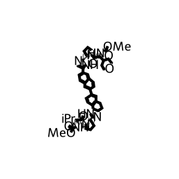 COC(=O)N[C@H](C(=O)N1CCC[C@H]1C1=NC2CCc3cc(-c4ccc5cc(-c6cnc([C@@H]7CCCN7C(=O)[C@@H](NC(=O)OC)C7CCOCC7)[nH]6)ccc5c4)ccc3C2N1)C(C)C